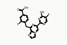 O=C(O)c1ccc(Cc2nc(-c3ncc(F)c(O)n3)cn3ccnc23)c(F)c1